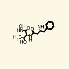 C[C@@H](O)[C@H](NC(=O)C[C@@H](N)Cc1ccccc1)C(=O)NO